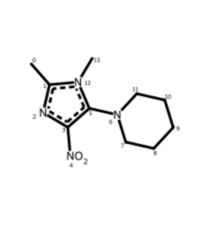 Cc1nc([N+](=O)[O-])c(N2CCCCC2)n1C